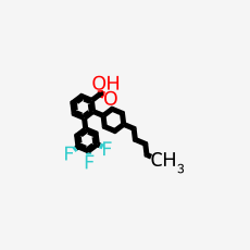 CCCCCC1CCC(c2c(C(=O)O)cccc2-c2cc(F)c(F)c(F)c2)CC1